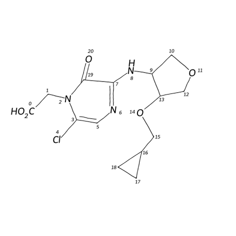 O=C(O)Cn1c(Cl)cnc(NC2COCC2OCC2CC2)c1=O